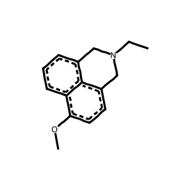 CCN1Cc2cccc3c(OC)ccc(c23)C1